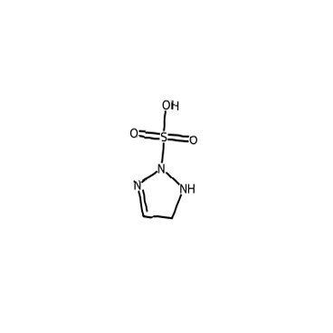 O=S(=O)(O)N1N=CCN1